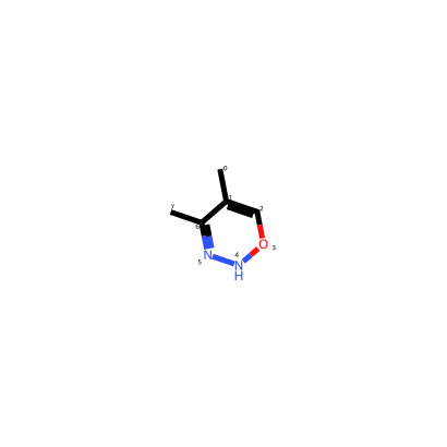 CC1=CONN=C1C